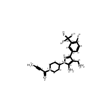 CC#CC(=O)N1CCC(n2nc(-c3ccc(F)c(C(F)(F)F)c3)c(CN)c2N)CC1